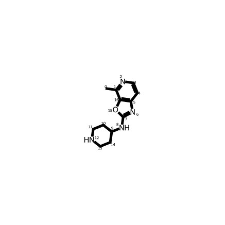 Cc1nccc2nc(NC3CCNCC3)oc12